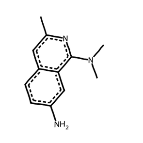 Cc1cc2ccc(N)cc2c(N(C)C)n1